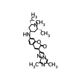 CC[C@@H]1C[C@@H](Nc2ccc3cc(-c4cn5cc(C)nc(C)c5n4)c(=O)oc3c2)C[C@H](CC)N1C